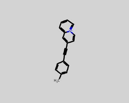 Cc1ccc(C#Cc2cc[n+]3ccccc3c2)cc1